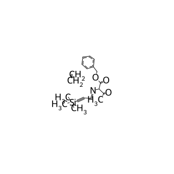 C=C.CC(=O)C(/N=C/C#C[Si](C)(C)C)C(=O)OCc1ccccc1